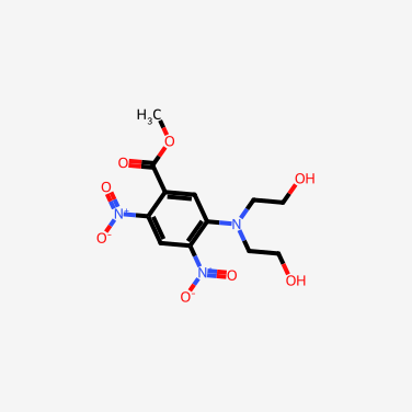 COC(=O)c1cc(N(CCO)CCO)c([N+](=O)[O-])cc1[N+](=O)[O-]